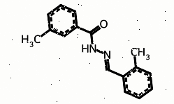 Cc1cccc(C(=O)N/N=C/c2ccccc2C)c1